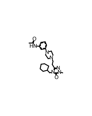 CC(=O)Nc1cccc(N2CCN(CCc3nn(C)c(=O)n3CC3CCCCC3)CC2)c1